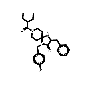 CCC(CC)C(=O)N1CCC2(CC1)NC(Cc1ccccc1)C(=O)N2Cc1ccc(F)cc1